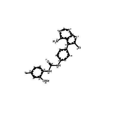 CCc1sc2ncnc(N)c2c1-c1ccc(NC(=O)Nc2ccc(C)cc2OC)cc1